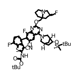 CC(C)(C)OC(=O)Nc1sc2c(F)ccc(-c3c(Cl)cc4c(N5C[C@@H]6C[C@H](C5)[C@H](O[Si](C)(C)C(C)(C)C)C6)nc(OCC56CCCN5C/C(=C\F)C6)nc4c3F)c2c1C#N